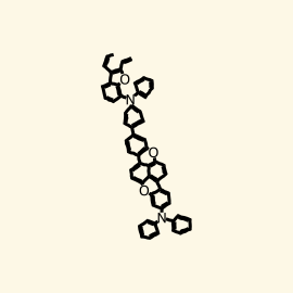 C=Cc1oc2c(N(c3ccccc3)c3ccc(-c4ccc5c(c4)Oc4ccc6c7c(ccc-5c47)Oc4cc(N(c5ccccc5)c5ccccc5)ccc4-6)cc3)cccc2c1/C=C\C